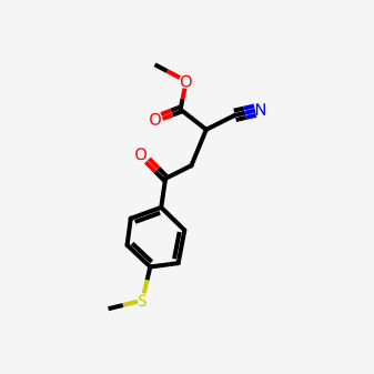 COC(=O)C(C#N)CC(=O)c1ccc(SC)cc1